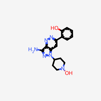 Nc1nn(C2CCN(O)CC2)c2cc(-c3ccccc3O)nnc12